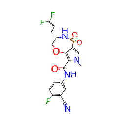 Cn1cc2c(c1C(=O)Nc1ccc(F)c(C#N)c1)OC[C@H](CC=C(F)F)NS2(=O)=O